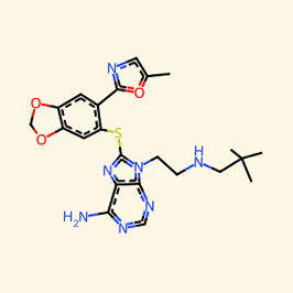 Cc1cnc(-c2cc3c(cc2Sc2nc4c(N)ncnc4n2CCNCC(C)(C)C)OCO3)o1